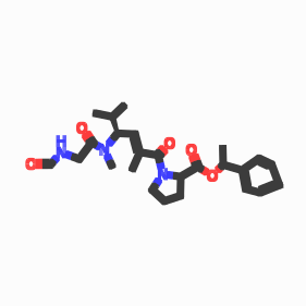 C/C(=C\[C@H](C(C)C)N(C)C(=O)CNC=O)C(=O)N1CCCC1C(=O)OC(C)c1ccccc1